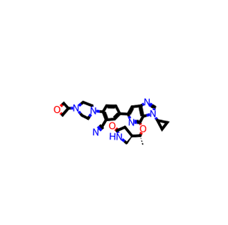 C[C@@H](Oc1nc(-c2ccc(N3CCN(C4COC4)CC3)c(C#N)c2)cc2ncn(C3CC3)c12)[C@H]1CNC(=O)C1